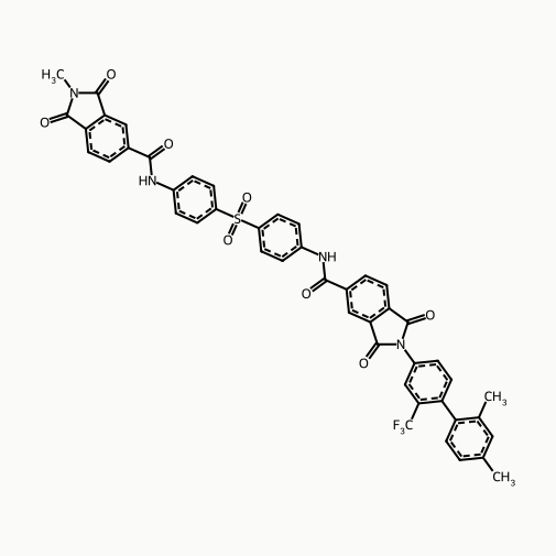 Cc1ccc(-c2ccc(N3C(=O)c4ccc(C(=O)Nc5ccc(S(=O)(=O)c6ccc(NC(=O)c7ccc8c(c7)C(=O)N(C)C8=O)cc6)cc5)cc4C3=O)cc2C(F)(F)F)c(C)c1